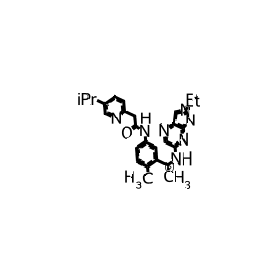 CCn1cc2ncc(N[C@@H](C)c3cc(NC(=O)Cc4ccc(C(C)C)cn4)ccc3C)nc2n1